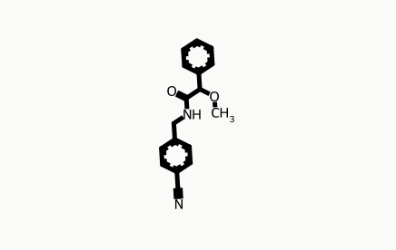 COC(C(=O)NCc1ccc(C#N)cc1)c1ccccc1